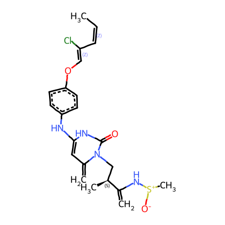 C=C(N[S+](C)[O-])[C@@H](C)CN1C(=C)C=C(Nc2ccc(O/C=C(Cl)/C=C\C)cc2)NC1=O